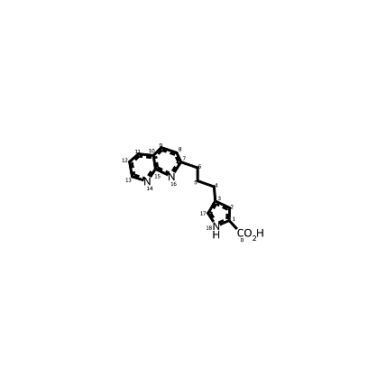 O=C(O)c1cc(CCCc2ccc3cccnc3n2)c[nH]1